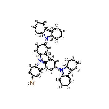 Brc1ccc2c(c1)c1cc(-n3c4ccccc4c4ccccc43)cc3c4cc(-n5c6ccccc6c6ccccc65)ccc4n2c13